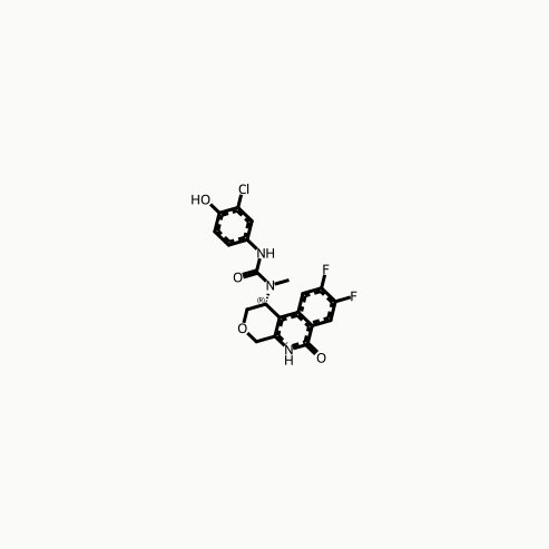 CN(C(=O)Nc1ccc(O)c(Cl)c1)[C@H]1COCc2[nH]c(=O)c3cc(F)c(F)cc3c21